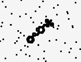 CS(=O)(=O)OCC1CCC(COc2ccccc2)OC1